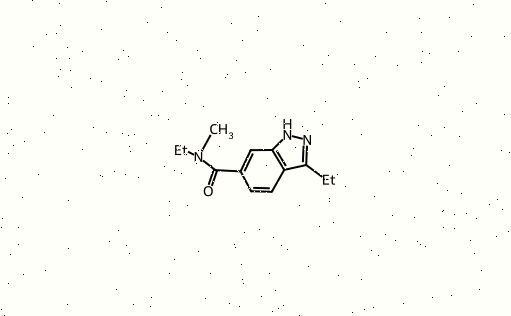 CCc1n[nH]c2cc(C(=O)N(C)CC)ccc12